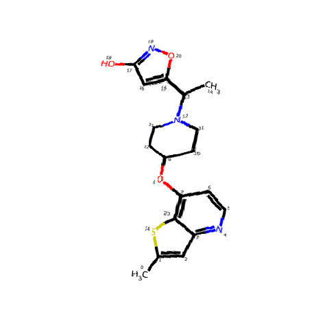 Cc1cc2nccc(OC3CCN(C(C)c4cc(O)no4)CC3)c2s1